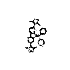 Cc1noc(C)c1-c1ccc2c3ncc(-c4c(C)nnn4C)cc3n([C@H](c3ccccc3)C3CCOCC3)c2n1